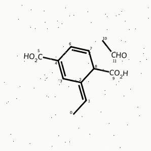 CC=C1C=C(C(=O)O)C=CC1C(=O)O.CC=O